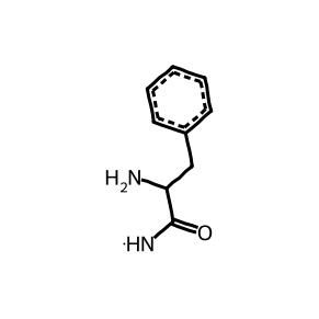 [NH]C(=O)C(N)Cc1ccccc1